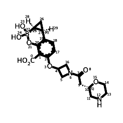 O=C(O)c1c(OC2CN(C(=O)C[C@H]3CNCCO3)C2)ccc2c1O[B-](O)(O)[C@H]1C[C@@H]21